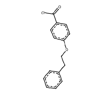 O=C(Cl)c1ccc(OCCc2ccccc2)cc1